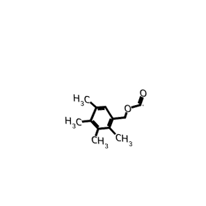 Cc1cc(CO[C]=O)c(C)c(C)c1C